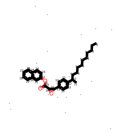 CCCCCCCCCCC(C)c1ccc(C2OC2C(=O)Oc2ccc3ccccc3c2)cc1